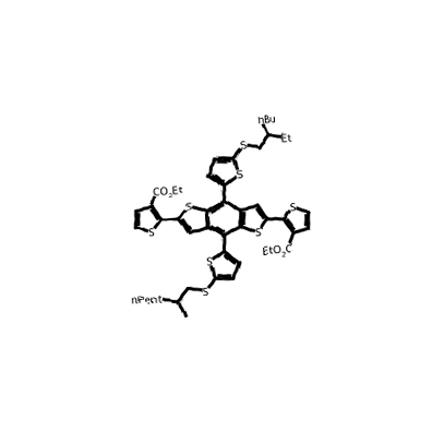 CCCCCC(C)CSc1ccc(-c2c3cc(-c4sccc4C(=O)OCC)sc3c(-c3ccc(SCC(CC)CCCC)s3)c3cc(-c4sccc4C(=O)OCC)sc23)s1